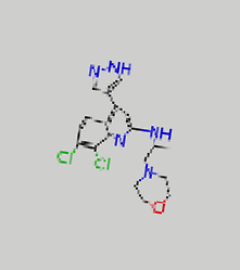 CC(CN1CCOCC1)Nc1cc(-c2cn[nH]c2)c2ccc(Cl)c(Cl)c2n1